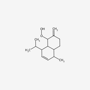 C=C1CCC2C(C)C=CC(C(C)C)C2C1OO